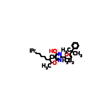 C=C(O/C(=C\C)C(C)(C)c1ccccc1)c1nc(O)cc(O[C@@H](C)C(=C)CCCCCC(C)C)n1